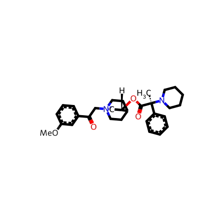 COc1cccc(C(=O)C[N+]23CCC(CC2)[C@@H](OC(=O)[C@](C)(c2ccccc2)N2CCCCC2)C3)c1